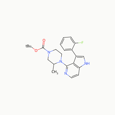 CC1CN(C(=O)OC(C)(C)C)CCN1c1nccc2[nH]cc(-c3ccccc3F)c12